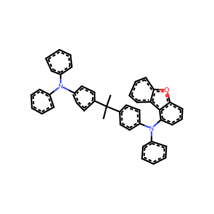 CC(C)(c1ccc(N(c2ccccc2)c2ccccc2)cc1)c1ccc(N(c2ccccc2)c2cccc3oc4ccccc4c23)cc1